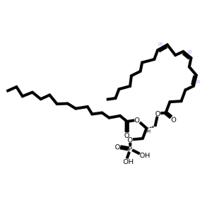 CCCCCCCC/C=C\C/C=C\C/C=C\CCCC(=O)OC[C@H](COP(=O)(O)O)OC(=O)CCCCCCCCCCCCCC